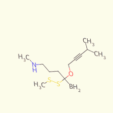 BC(CCCNC)(OCC#CC(C)C)SSC